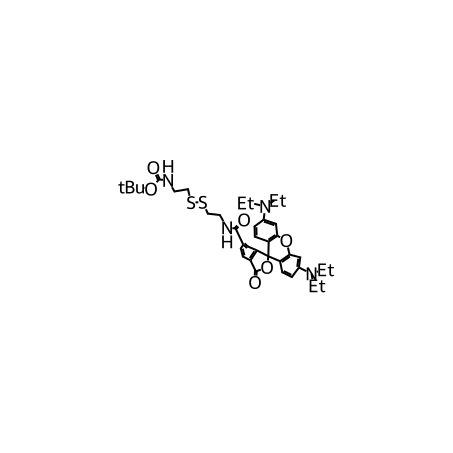 CCN(CC)c1ccc2c(c1)Oc1cc(N(CC)CC)ccc1C21OC(=O)c2ccc(C(=O)NCCSSCCNC(=O)OC(C)(C)C)cc21